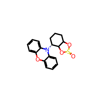 O=S1OC2CCC[C@@H](N3c4ccccc4Oc4ccccc43)C2O1